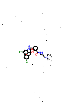 CC(C)c1cccc(C(=O)NCCCN(C)C)c1OC1(Cc2cccc(Cl)c2)C(=O)Nc2cc(Cl)ccc21